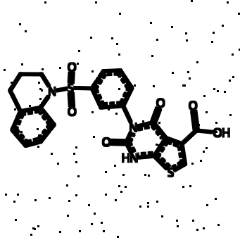 O=C(O)c1csc2[nH]c(=O)n(-c3cccc(S(=O)(=O)N4CCCc5ccccc54)c3)c(=O)c12